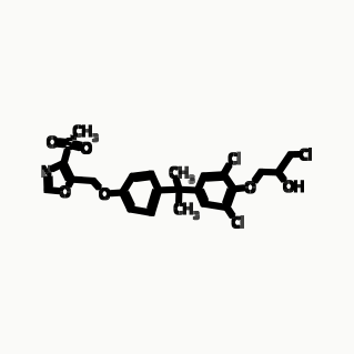 CC(C)(c1ccc(OCc2ocnc2S(C)(=O)=O)cc1)c1cc(Cl)c(OCC(O)CCl)c(Cl)c1